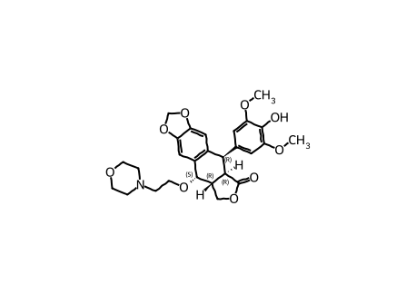 COc1cc([C@@H]2c3cc4c(cc3[C@@H](OCCN3CCOCC3)[C@H]3COC(=O)[C@H]23)OCO4)cc(OC)c1O